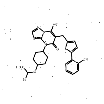 CCCc1c(Cc2ccc(-c3ccccc3C#N)s2)c(=O)n(C2CCC(OC(CC)C(=O)O)CC2)c2ncnn12